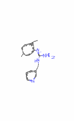 Cc1ccc(C)c(/N=C(/N)NCc2cccnc2)c1